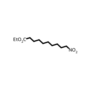 CCOC(=O)CCCCCCCCC[N+](=O)[O-]